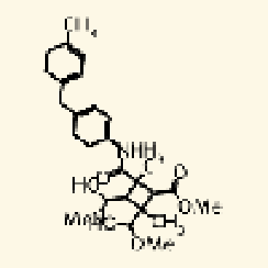 CNC(O)C1C(C)(C(=O)NC2=CC=C(CC3=CC=C(C)CC3)CC2)C(C(=O)OC)C1(C)C(O)OC